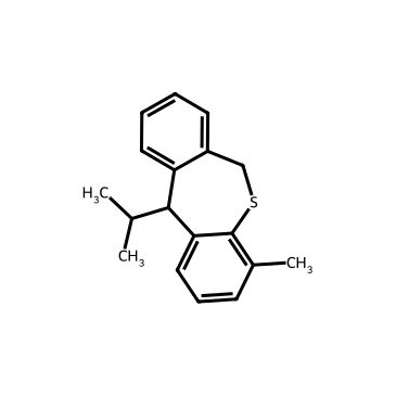 Cc1cccc2c1SCc1ccccc1C2C(C)C